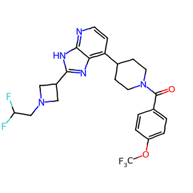 O=C(c1ccc(OC(F)(F)F)cc1)N1CCC(c2ccnc3[nH]c(C4CN(CC(F)F)C4)nc23)CC1